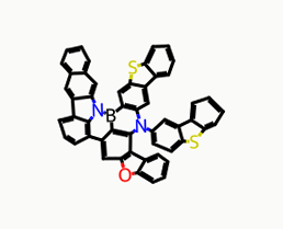 c1ccc2cc3c(cc2c1)c1cccc2c1n3B1c3cc4sc5ccccc5c4cc3N(c3ccc4sc5ccccc5c4c3)c3c1c-2cc1oc2ccccc2c31